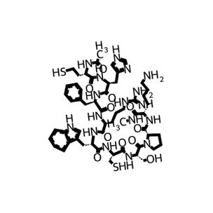 CNC(=O)[C@H](CCCCN)NC(=O)[C@@H]1CCCN1C(=O)[C@H](CO)NC(=O)[C@H](CS)NC(=O)[C@H](Cc1c[nH]c2ccccc12)NC(=O)[C@H](CCCNC(=N)N)NC(=O)[C@@H](Cc1ccccc1)NC(=O)[C@H](Cc1c[nH]cn1)NC(=O)[C@H](CCS)NC(C)=O